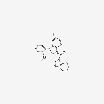 COc1ccccc1C1CN(C(=O)n2cnc3c2CCCC3)c2ccc(F)cc21